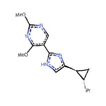 COc1ncc(-c2nc([C@H]3C[C@@H]3C(C)C)c[nH]2)c(OC)n1